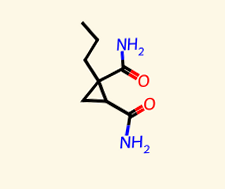 CCCC1(C(N)=O)CC1C(N)=O